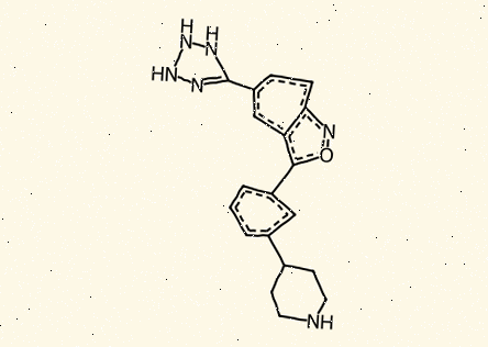 c1cc(-c2onc3ccc(C4=NNNN4)cc23)cc(C2CCNCC2)c1